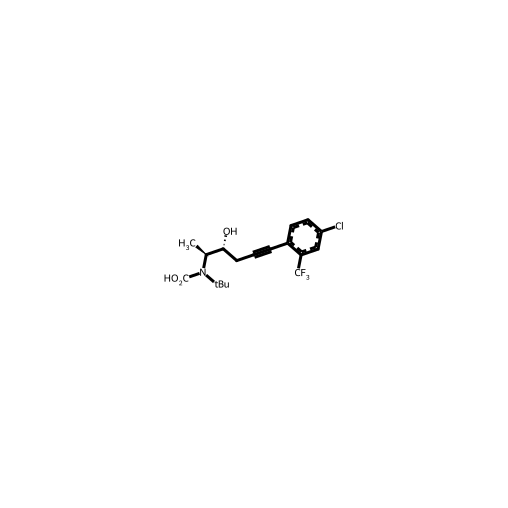 C[C@@H]([C@H](O)CC#Cc1ccc(Cl)cc1C(F)(F)F)N(C(=O)O)C(C)(C)C